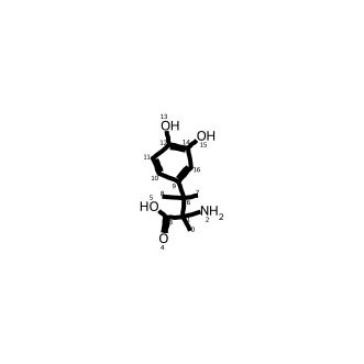 CC(N)(C(=O)O)C(C)(C)c1ccc(O)c(O)c1